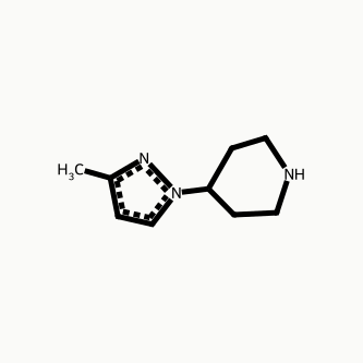 Cc1ccn(C2CCNCC2)n1